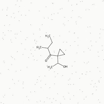 CCC(C)C(=O)C1(C(C)O)CC1